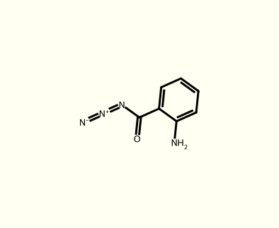 [N-]=[N+]=NC(=O)c1ccccc1N